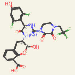 N=C(N[C@@H](C(=O)N[C@H]1Cc2cccc(C(=O)O)c2OB1O)c1c(F)cc(O)cc1F)N1CCN(CC(F)(F)F)C(=O)C1=O